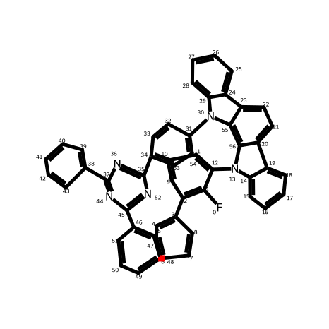 Fc1c(-c2ccccc2)cccc1-n1c2ccccc2c2ccc3c4ccccc4n(-c4ccc(-c5nc(-c6ccccc6)nc(-c6ccccc6)n5)cc4)c3c21